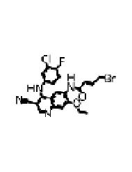 CCOc1cc2ncc(C#N)c(Nc3ccc(F)c(Cl)c3)c2cc1NC(=O)C=CCBr